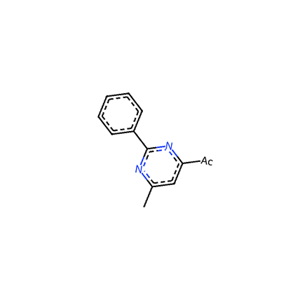 CC(=O)c1cc(C)nc(-c2ccccc2)n1